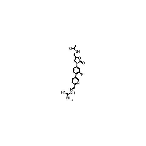 CC(=O)NCC1CN(c2ccc(-c3ccc(C=NNC(=N)N)nc3)c(F)c2)C(=O)O1